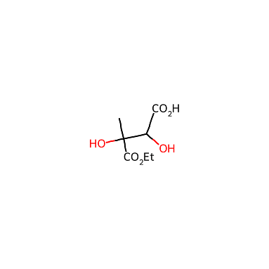 CCOC(=O)C(C)(O)C(O)C(=O)O